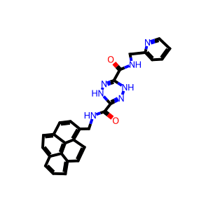 O=C(NCc1ccccn1)C1=NNC(C(=O)NCc2ccc3ccc4cccc5ccc2c3c45)=NN1